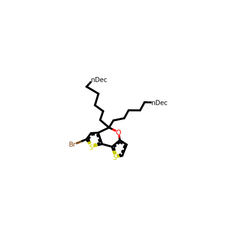 CCCCCCCCCCCCCCCC1(CCCCCCCCCCCCCCC)Oc2ccsc2-c2sc(Br)cc21